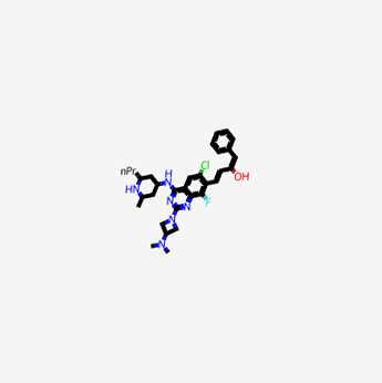 CCCC1CC(Nc2nc(N3CC(N(C)C)C3)nc3c(F)c(/C=C/C(O)=C\c4ccccc4)c(Cl)cc23)CC(C)N1